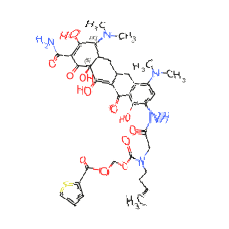 CCCCN(CC(=O)Nc1cc(N(C)C)c2c(c1O)C(=O)C1=C(O)[C@]3(O)C(=O)C(C(N)=O)=C(O)[C@@H](N(C)C)C3CC1C2)C(=O)OCOC(=O)c1cccs1